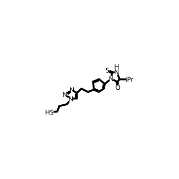 CC(C)C1NC(=S)N(c2ccc(CCc3cn(CCCS)nn3)cc2)C1=O